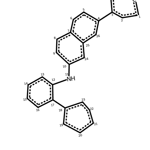 c1ccc(-c2ccc3ccc(Nc4ccccc4-c4ccccc4)cc3c2)cc1